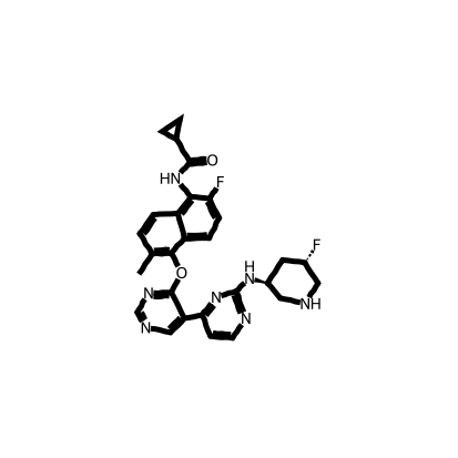 Cc1ccc2c(NC(=O)C3CC3)c(F)ccc2c1Oc1ncncc1-c1ccnc(N[C@@H]2CNC[C@@H](F)C2)n1